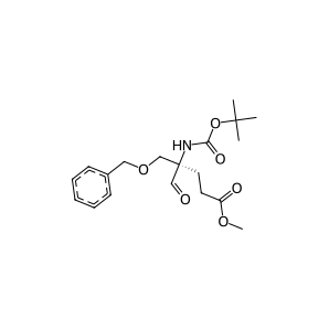 COC(=O)CC[C@](C=O)(COCc1ccccc1)NC(=O)OC(C)(C)C